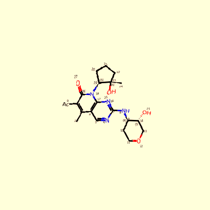 CC(=O)c1c(C)c2cnc(N[C@@H]3CCOC[C@H]3O)nc2n([C@H]2CCC[C@]2(C)O)c1=O